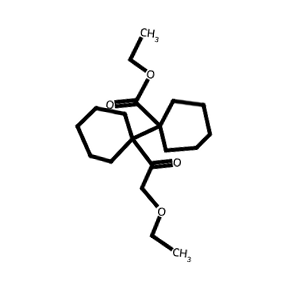 CCOCC(=O)C1(C2(C(=O)OCC)CCCCC2)CCCCC1